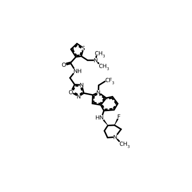 CN(C)Cc1sccc1C(=O)NCc1nc(-c2cc3c(N[C@@H]4CCN(C)C[C@@H]4F)cccc3n2CC(F)(F)F)no1